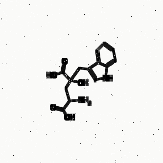 NC(CC(O)(Cc1[c][nH]c2ccccc12)C(=O)O)C(=O)O